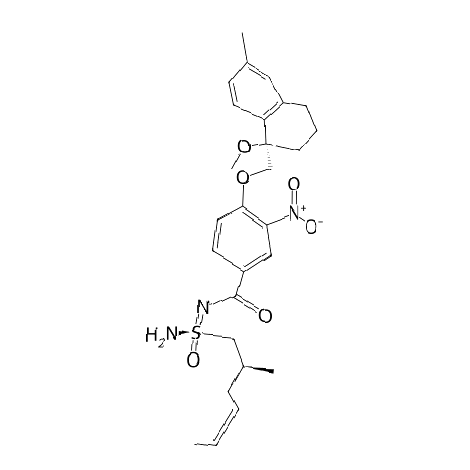 C/C=C\C[C@H](C)C[S@](N)(=O)=NC(=O)c1ccc(OC[C@@]2(OC)CCCc3cc(C)ccc32)c([N+](=O)[O-])c1